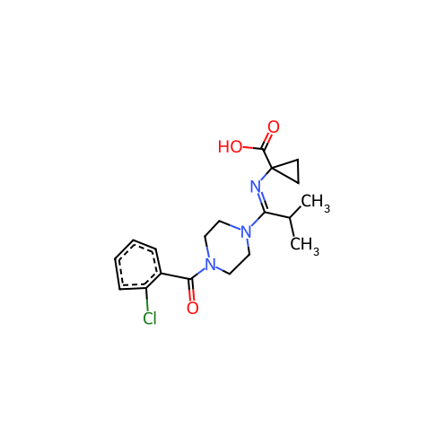 CC(C)C(=NC1(C(=O)O)CC1)N1CCN(C(=O)c2ccccc2Cl)CC1